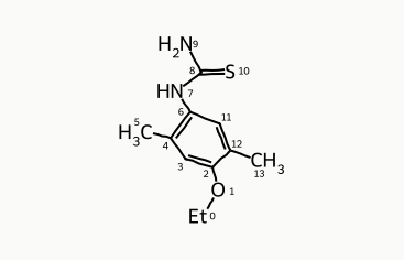 CCOc1cc(C)c(NC(N)=S)cc1C